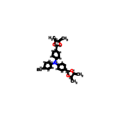 C=C1OB(c2ccc(N(c3ccc(B4OC(=C)C(=C)O4)cc3)c3ccc(C(C)CC)cc3)cc2)OC1=C